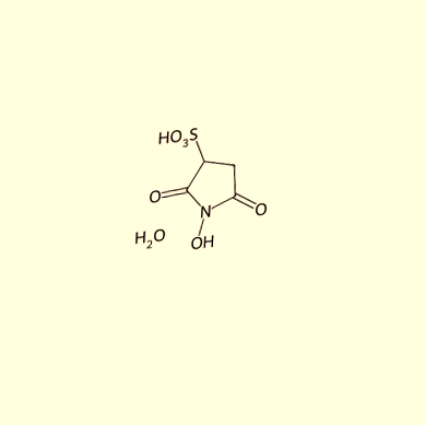 O.O=C1CC(S(=O)(=O)O)C(=O)N1O